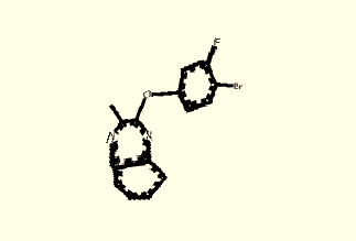 Cc1nc2ccccc2nc1Oc1ccc(Br)c(F)c1